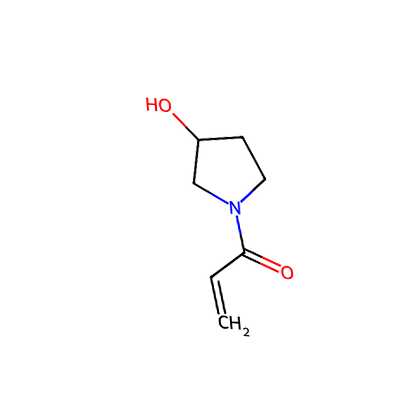 C=CC(=O)N1CCC(O)C1